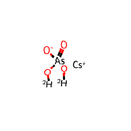 [2H]O[As](=O)([O-])O[2H].[Cs+]